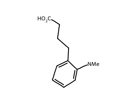 CNc1ccccc1CCCC(=O)O